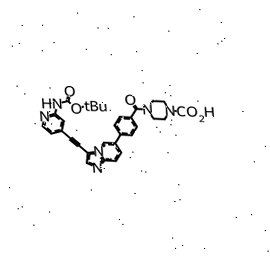 CC(C)(C)OC(=O)Nc1cc(C#Cc2cnc3ccc(-c4ccc(C(=O)N5CCN(C(=O)O)CC5)cc4)cn23)ccn1